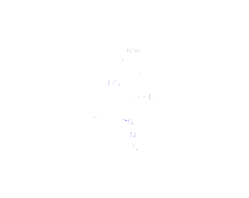 CC(C)(C)OC(=O)NC(C(=O)O)[C@H]1COC[C@@H]1N=[N+]=[N-]